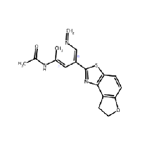 C=N/C=C(\C=C(/C)NC(C)=O)c1nc2c3c(ccc2s1)OCC3